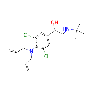 C=CCN(CC=C)c1c(Cl)cc(C(O)CNC(C)(C)C)cc1Cl